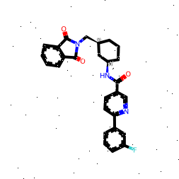 O=C(N[C@@H]1CCC[C@H](CN2C(=O)c3ccccc3C2=O)C1)c1ccc(-c2cccc(F)c2)nc1